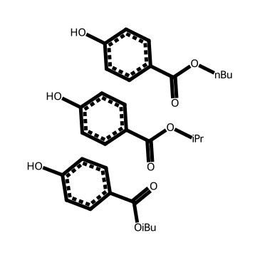 CC(C)COC(=O)c1ccc(O)cc1.CC(C)OC(=O)c1ccc(O)cc1.CCCCOC(=O)c1ccc(O)cc1